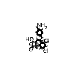 Cl.NCc1ccc(C[C@@H]2C[C@@H](C(=O)O)N(NC=O)c3cc(Cl)cc(Cl)c32)cc1